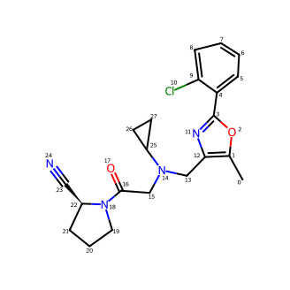 Cc1oc(-c2ccccc2Cl)nc1CN(CC(=O)N1CCC[C@H]1C#N)C1CC1